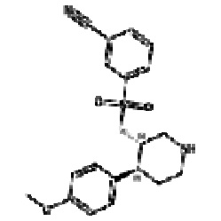 COc1ccc([C@@H]2CCNC[C@H]2CS(=O)(=O)c2cccc(C#N)c2)cc1